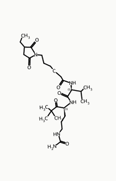 CCC1CC(=O)N(CCCCCC(=O)N[C@H](C(=O)N[C@@H](CCCNC(N)=O)C(=O)C(C)(C)C)C(C)C)C1=O